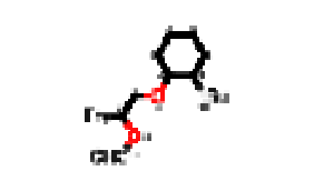 CCC(COC1CCCCC1C(C)(C)C)OC=O